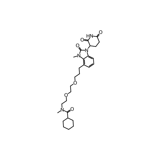 CN(CCOCCOCCCc1cccc2c1n(C)c(=O)n2C1CCC(=O)NC1=O)C(=O)C1CCCCC1